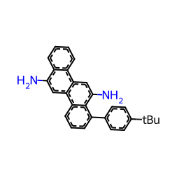 CC(C)(C)c1ccc(-c2cccc3c2c(N)cc2c4ccccc4c(N)cc32)cc1